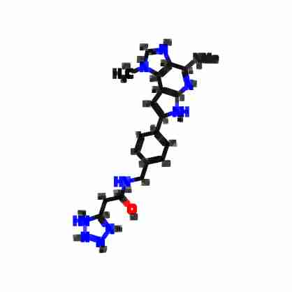 CNc1nc2[nH]c(-c3ccc(CNC(=O)Cc4nnn[nH]4)cc3)cc2c2c1ncn2C